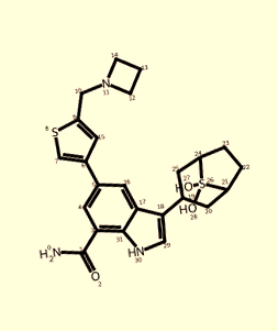 NC(=O)c1cc(-c2csc(CN3CCC3)c2)cc2c(C3CC4CCC(C3)S4(O)O)c[nH]c12